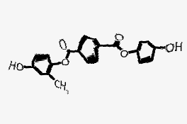 Cc1cc(O)ccc1OC(=O)c1ccc(C(=O)Oc2ccc(O)cc2)cc1